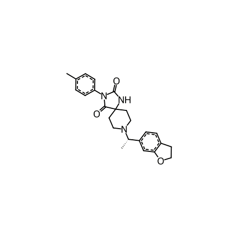 Cc1ccc(N2C(=O)NC3(CCN([C@@H](C)c4ccc5c(c4)OCC5)CC3)C2=O)cc1